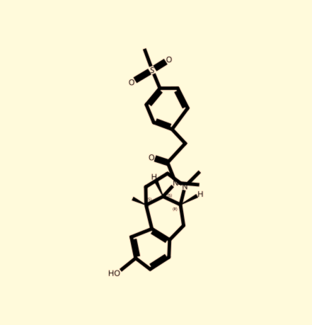 CN1CC[C@@]2(C)c3cc(O)ccc3C[C@@H]1[C@H]2N(C)C(=O)Cc1ccc(S(C)(=O)=O)cc1